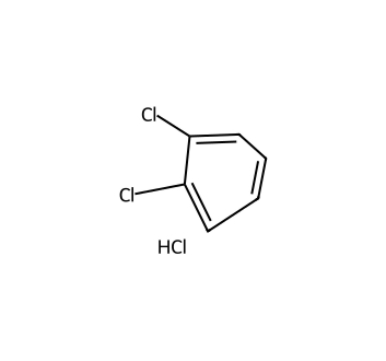 Cl.Clc1ccccc1Cl